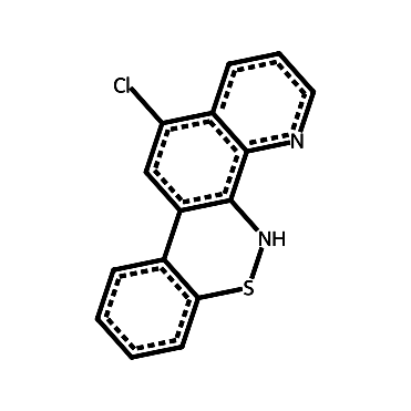 Clc1cc2c(c3ncccc13)NSc1ccccc1-2